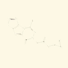 CC(C)c1nn(CC(=O)NC2CC2)c(=O)c2cc3scnc3n12